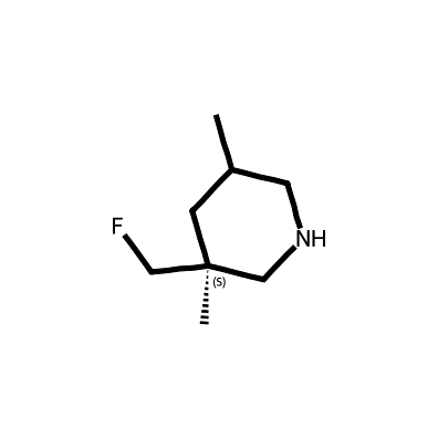 CC1CNC[C@@](C)(CF)C1